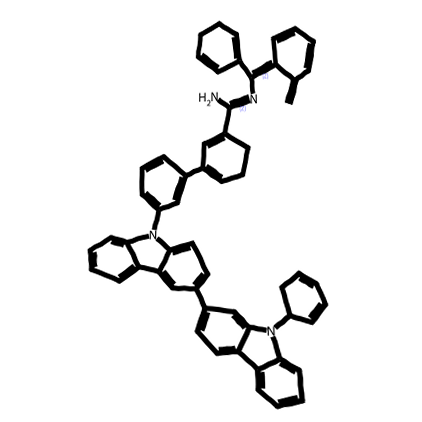 C=c1cccc/c1=C(/N=C(\N)C1=CC(c2cccc(-n3c4ccccc4c4cc(-c5ccc6c7ccccc7n(C7C=CC=CC7)c6c5)ccc43)c2)=CCC1)C1=CCCC=C1